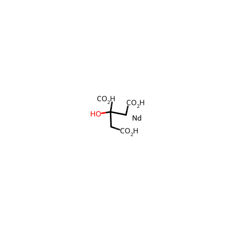 O=C(O)CC(O)(CC(=O)O)C(=O)O.[Nd]